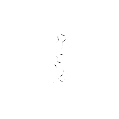 CC(=O)c1csc(Cn2ccc(NC(=O)OCc3ccccc3Cl)n2)n1